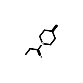 C=C1CCN(C(=O)CC)CC1